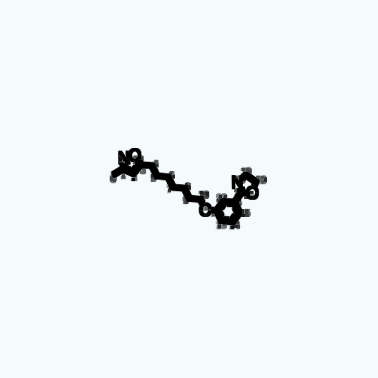 Cc1cc(CCCCCCCOc2cccc(C3=NCCO3)c2)on1